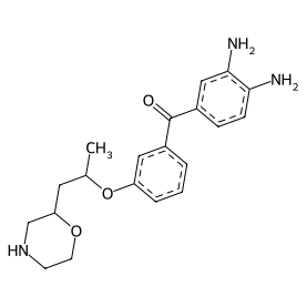 CC(CC1CNCCO1)Oc1cccc(C(=O)c2ccc(N)c(N)c2)c1